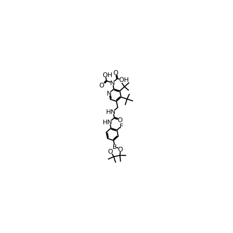 CC(C)(C)c1c(CNC(=O)Nc2ccc(B3OC(C)(C)C(C)(C)O3)cc2F)cnc(N(C(=O)O)C(=O)O)c1C(C)(C)C